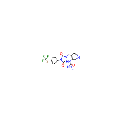 NC(=O)Nc1cnccc1CN1CC(=O)N(c2ccc(SC(F)(F)F)cc2)C1=O